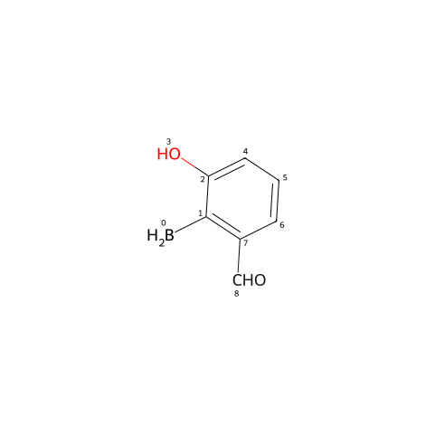 Bc1c(O)cccc1C=O